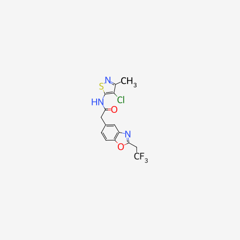 Cc1nsc(NC(=O)Cc2ccc3oc(CC(F)(F)F)nc3c2)c1Cl